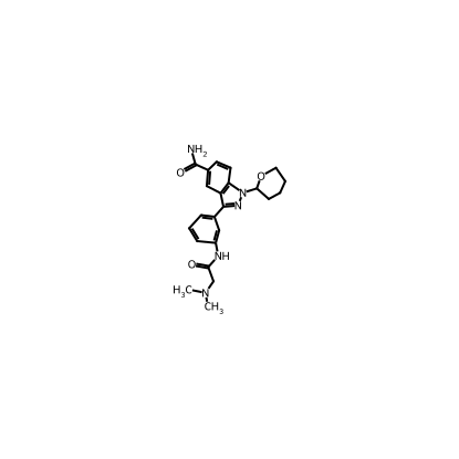 CN(C)CC(=O)Nc1cccc(-c2nn(C3CCCCO3)c3ccc(C(N)=O)cc23)c1